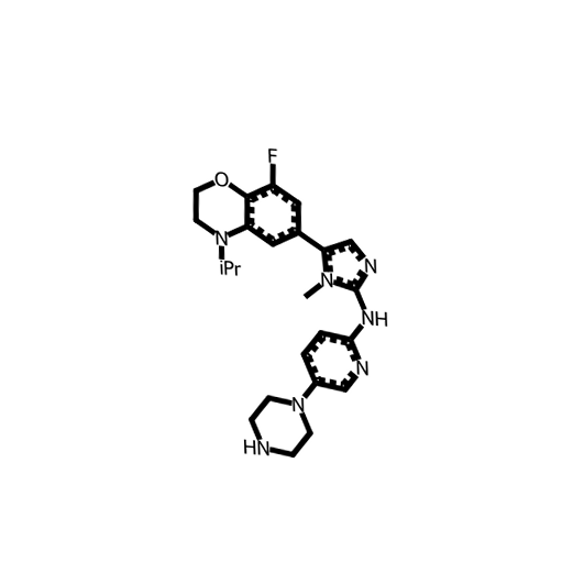 CC(C)N1CCOc2c(F)cc(-c3cnc(Nc4ccc(N5CCNCC5)cn4)n3C)cc21